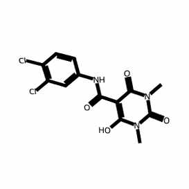 Cn1c(O)c(C(=O)Nc2ccc(Cl)c(Cl)c2)c(=O)n(C)c1=O